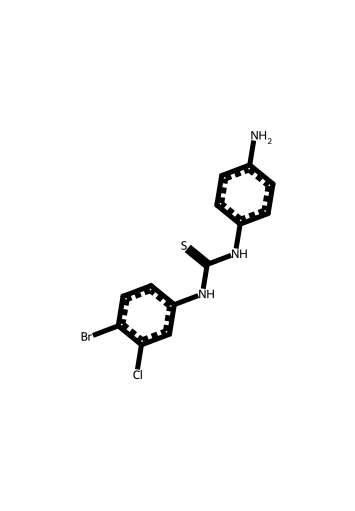 Nc1ccc(NC(=S)Nc2ccc(Br)c(Cl)c2)cc1